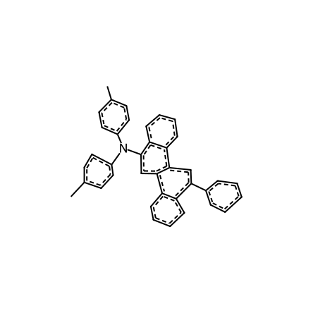 Cc1ccc(N(c2ccc(C)cc2)c2cc3c4ccccc4c(-c4ccccc4)cc3c3ccccc23)cc1